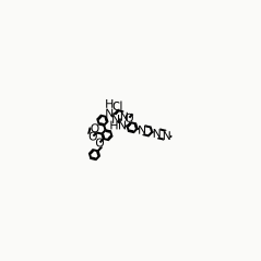 COc1cc(N2CCC(N3CCN(C)CC3)CC2)ccc1Nc1ncc(Cl)c(Nc2cccc(-c3cccc(OCc4ccccc4)c3C3OCCO3)c2)n1